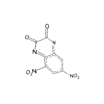 O=C1N=c2cc([N+](=O)[O-])cc([N+](=O)[O-])c2=NC1=O